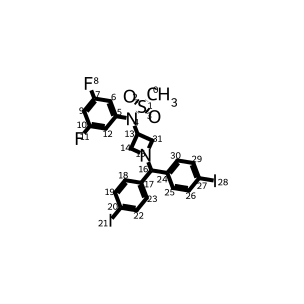 CS(=O)(=O)N(c1cc(F)cc(F)c1)C1CN(C(c2ccc(I)cc2)c2ccc(I)cc2)C1